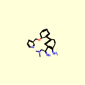 CN(C)CC(=N)c1cc(-c2ccccc2OCc2cccnc2)ccc1N